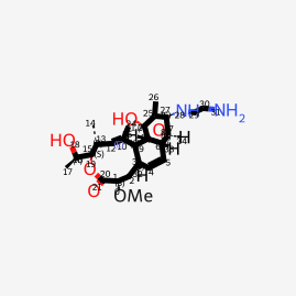 CO[C@H]1C[C@H]2C=C[C@H]3[C@H]4O[C@]2(/C(C)=C/[C@@H](C)[C@@H]([C@@H](C)O)OC1=O)[C@@H]3[C@H](O)C(C)[C@@H]4NCCN